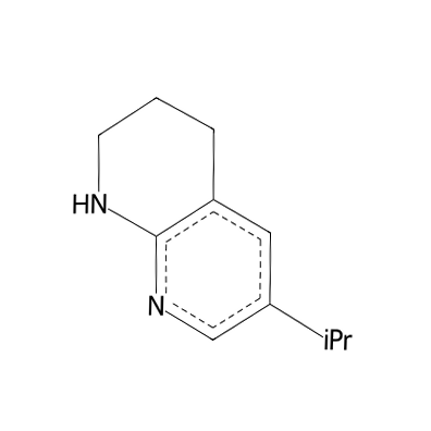 CC(C)c1cnc2c(c1)CCCN2